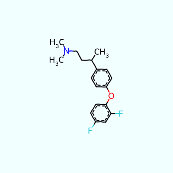 CC(CCN(C)C)c1ccc(Oc2ccc(F)cc2F)cc1